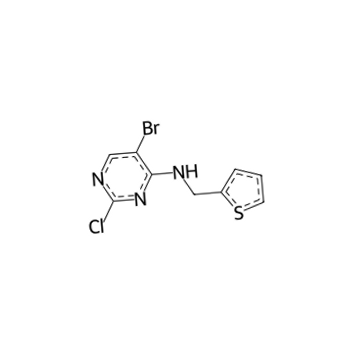 Clc1ncc(Br)c(NCc2cccs2)n1